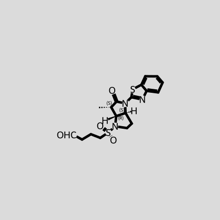 C[C@@H]1C(=O)N(c2nc3ccccc3s2)[C@H]2CCN(S(=O)(=O)CCCC=O)[C@H]12